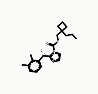 CCCC1(COC(=O)n2ccnc2[C@@H](C)c2cccc(C)c2C)CCC1